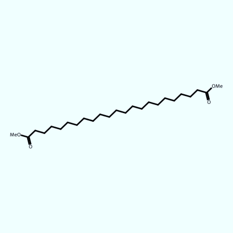 COC(=O)CCCCCCCCCCCCCCCCCCCCCC(=O)OC